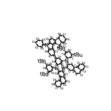 CC(C)(C)c1cc(N2c3cc4c(ccc5ccccc54)cc3B3c4cc5ccc6ccccc6c5cc4N(c4cc(C(C)(C)C)cc(C(C)(C)C)c4)c4cc(-c5ccc6c(c5)c5c7c(ccc5n6-c5ccccc5)-c5ccccc5C7(C)C)cc2c43)cc(C(C)(C)C)c1